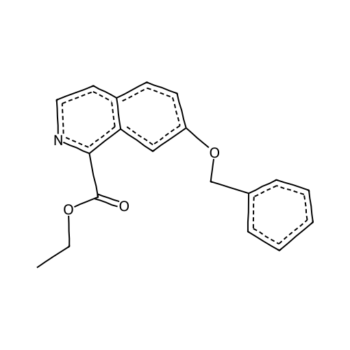 CCOC(=O)c1nccc2ccc(OCc3ccccc3)cc12